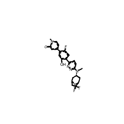 CN(c1ccc(-c2cc(F)c(-c3ccn(C)c(=O)c3)cc2O)nn1)[C@@H]1CC2CC(F)(F)C(C1)N2